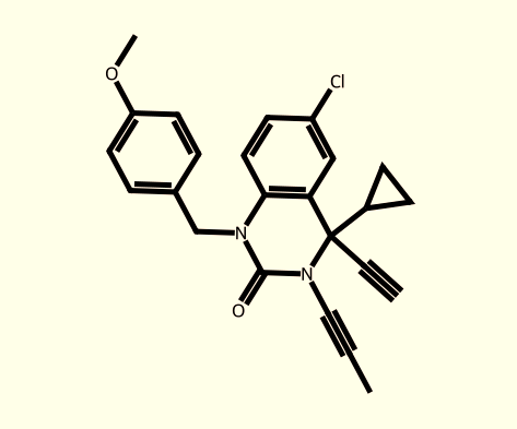 C#CC1(C2CC2)c2cc(Cl)ccc2N(Cc2ccc(OC)cc2)C(=O)N1C#CC